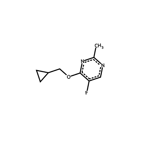 Cc1ncc(F)c(OCC2CC2)n1